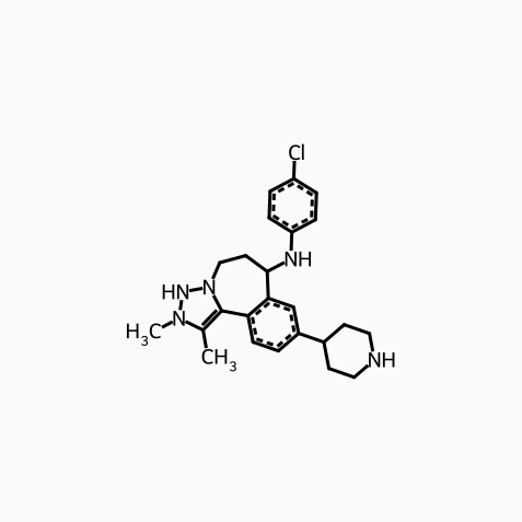 CC1=C2c3ccc(C4CCNCC4)cc3C(Nc3ccc(Cl)cc3)CCN2NN1C